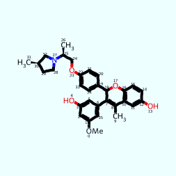 COc1cc(O)cc(C2=C(C)c3cc(O)ccc3OC2c2ccc(OC[C@H](C)N3CC[C@@H](C)C3)cc2)c1